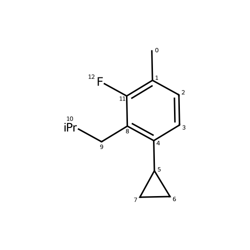 Cc1ccc(C2CC2)c(CC(C)C)c1F